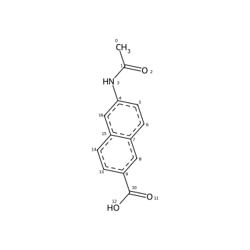 CC(=O)Nc1ccc2cc(C(=O)O)ccc2c1